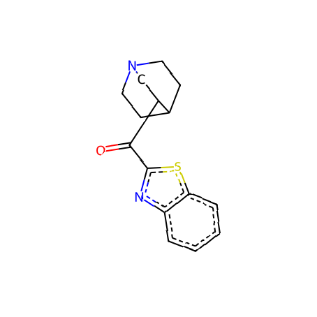 O=C(c1nc2ccccc2s1)C1CN2CCC1CC2